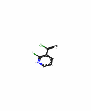 C=C(Cl)c1cccnc1Cl